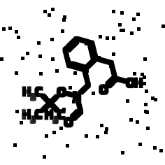 CC(C)(C)ON(C=O)Cc1ccccc1CC(=O)O